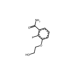 NC(=O)c1cccc(OCCO)c1I